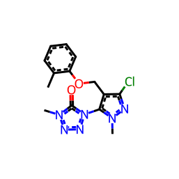 Cc1ccccc1OCc1c(Cl)nn(C)c1-n1nnn(C)c1=O